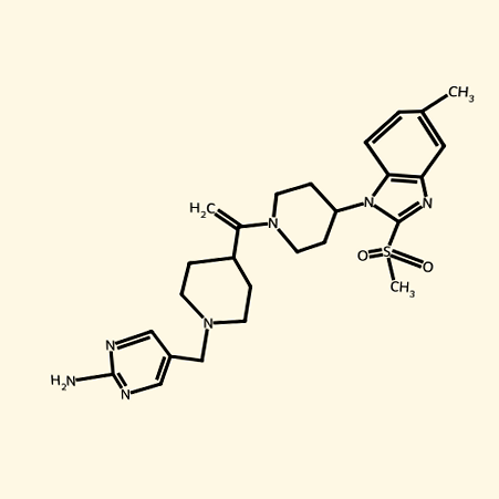 C=C(C1CCN(Cc2cnc(N)nc2)CC1)N1CCC(n2c(S(C)(=O)=O)nc3cc(C)ccc32)CC1